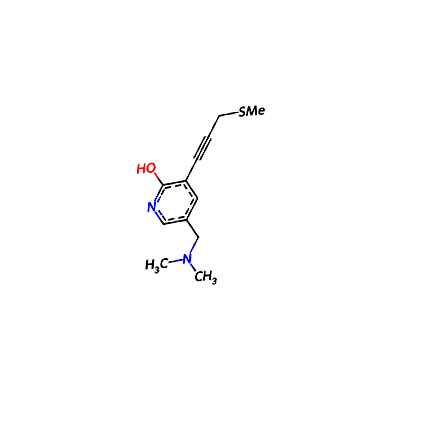 CSCC#Cc1cc(CN(C)C)cnc1O